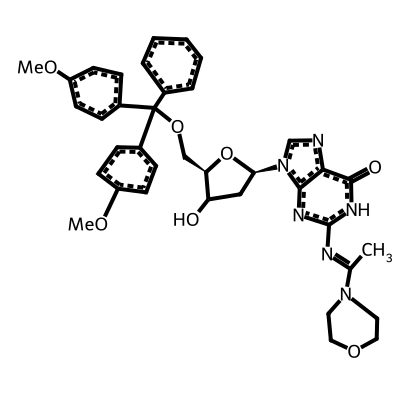 COc1ccc(C(OC[C@H]2O[C@@H](n3cnc4c(=O)[nH]c(/N=C(\C)N5CCOCC5)nc43)CC2O)(c2ccccc2)c2ccc(OC)cc2)cc1